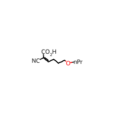 CCCOCCCC=C(C#N)C(=O)O